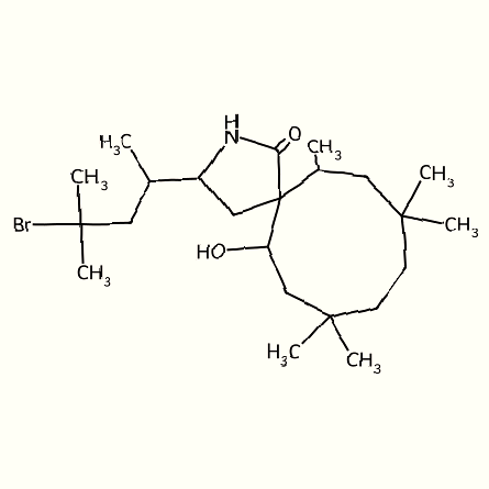 CC(CC(C)(C)Br)C1CC2(C(=O)N1)C(C)CC(C)(C)CCC(C)(C)CC2O